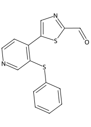 O=Cc1ncc(-c2ccncc2Sc2ccccc2)s1